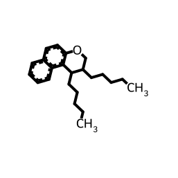 CCCCCC1COc2ccc3ccccc3c2C1CCCCC